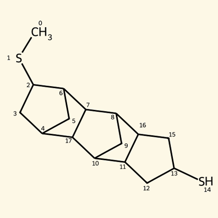 CSC1CC2CC1C1C3CC(C4CC(S)CC43)C21